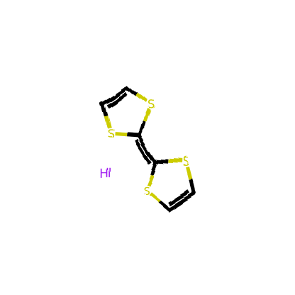 C1=CSC(=C2SC=CS2)S1.I